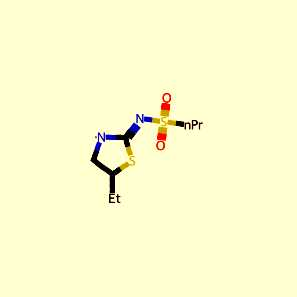 CCCS(=O)(=O)N=C1[N]CC(CC)S1